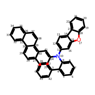 c1ccc(-c2ccccc2N(c2ccc3c(c2)oc2ccccc23)c2ccc3ccc4c5ccccc5ccc4c3c2)cc1